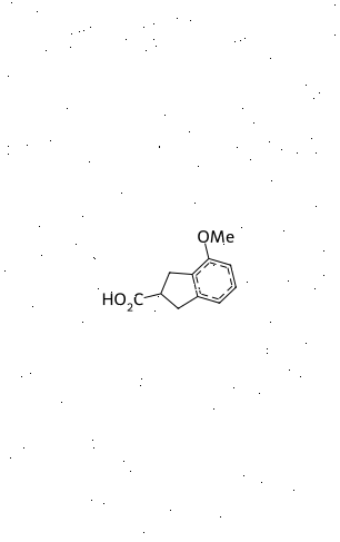 COc1cccc2c1CC(C(=O)O)C2